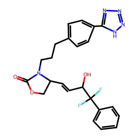 O=C1OCC(C=CC(O)C(F)(F)c2ccccc2)N1CCCc1ccc(-c2nnn[nH]2)cc1